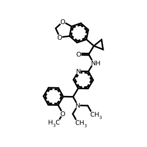 CCN(CC)C(c1ccc(NC(=O)C2(c3ccc4c(c3)OCO4)CC2)nc1)c1ccccc1OC